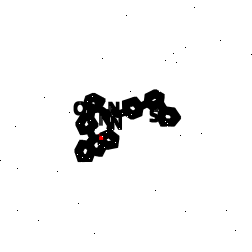 c1ccc(-c2nc(-c3ccc(-c4cccc5c4sc4ccccc45)cc3)nc(-c3cccc4oc5ccc(-c6cccc7ccccc67)cc5c34)n2)cc1